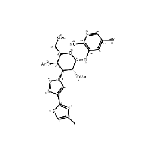 CO[C@@H]1[C@@H](n2cc(-c3nc(C)cs3)nn2)[C@@H](OC(C)=O)[C@@H](COC(C)=O)O[C@@H]1Sc1cc(Br)cnc1C#N